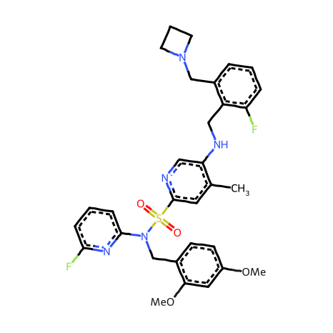 COc1ccc(CN(c2cccc(F)n2)S(=O)(=O)c2cc(C)c(NCc3c(F)cccc3CN3CCC3)cn2)c(OC)c1